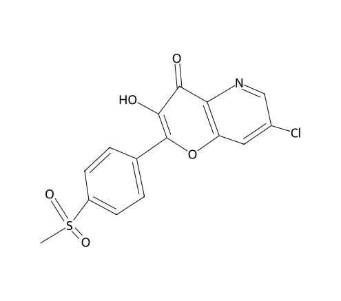 CS(=O)(=O)c1ccc(-c2oc3cc(Cl)cnc3c(=O)c2O)cc1